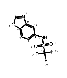 O=S(=O)(Nc1ccc2ocnc2c1)C(F)(F)F